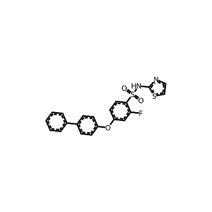 O=S(=O)(Nc1nccs1)c1ccc(Oc2ccc(-c3ccccc3)cc2)cc1F